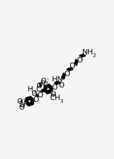 COc1cc(C(C)OC(=O)Oc2ccc([N+](=O)[O-])cc2)c([N+](=O)[O-])cc1OCC(=O)NCCOCCOCCOCCN